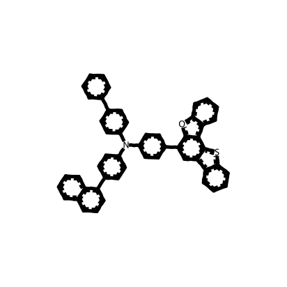 c1ccc(-c2ccc(N(c3ccc(-c4cccc5ccccc45)cc3)c3ccc(-c4cc5c6ccccc6sc5c5c4oc4ccccc45)cc3)cc2)cc1